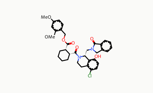 COc1ccc(COC(=O)[C@H]2CCCC[C@H]2C(=O)N2CCc3c(Cl)ccc(O)c3[C@H]2CN2Cc3ccccc3C2=O)c(OC)c1